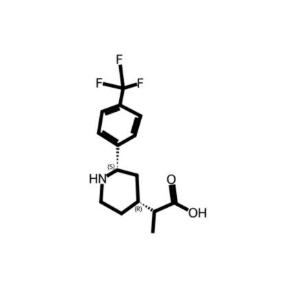 CC(C(=O)O)[C@@H]1CCN[C@H](c2ccc(C(F)(F)F)cc2)C1